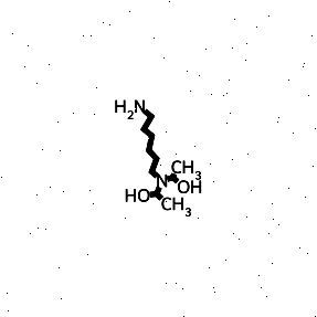 CC(O)N(CCCCCCN)C(C)O